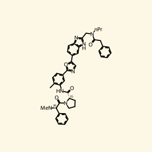 CCCN(Cc1nc2ccc(-c3cnc(-c4ccc(C)c(NC(=O)[C@@H]5CCCN5C(=O)[C@H](NC)c5ccccc5)c4)o3)cc2[nH]1)C(=O)Cc1ccccc1